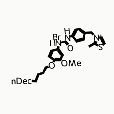 CCCCCCCCCCCCCCOc1ccc(NC(=O)Nc2ccc(C[n+]3ccsc3C)cc2)cc1OC.[Br-]